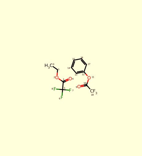 CCOC(=O)C(F)(F)F.O=C(Oc1ccccc1)C(F)(F)F